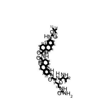 CC(C)[C@H](N)C(=O)N[C@@H](CCCNC(N)=O)C(=O)Nc1ccc2c(c1)[C@@]1(C)CCC[C@](C)(C(=O)NC(=O)[C@@]3(C)CCC[C@]4(C)c5cc(NC(=O)OC(C)(C)C)ccc5CC[C@@H]34)[C@@H]1CC2